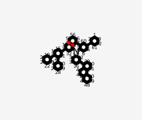 c1ccc(-c2ccc(N(c3cccc(-c4ccc(-c5ccccc5)c(-c5ccccc5)c4)c3)c3cccc(-c4cccc5c4ccc4ccccc45)c3)c(-c3ccccc3)c2)cc1